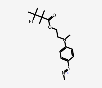 CCC(C)(C)C(C)(C)C(=O)OCCN(C)c1ccc(/N=N/C)cc1